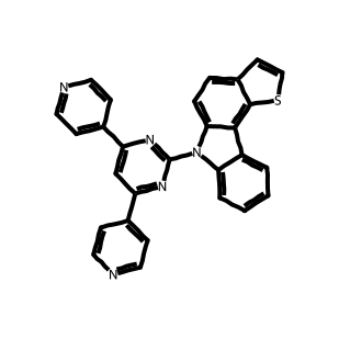 c1ccc2c(c1)c1c3sccc3ccc1n2-c1nc(-c2ccncc2)cc(-c2ccncc2)n1